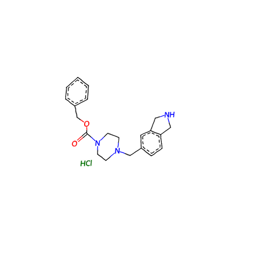 Cl.O=C(OCc1ccccc1)N1CCN(Cc2ccc3c(c2)CNC3)CC1